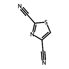 N#Cc1csc(C#N)n1